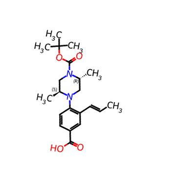 CC=Cc1cc(C(=O)O)ccc1N1C[C@@H](C)N(C(=O)OC(C)(C)C)C[C@@H]1C